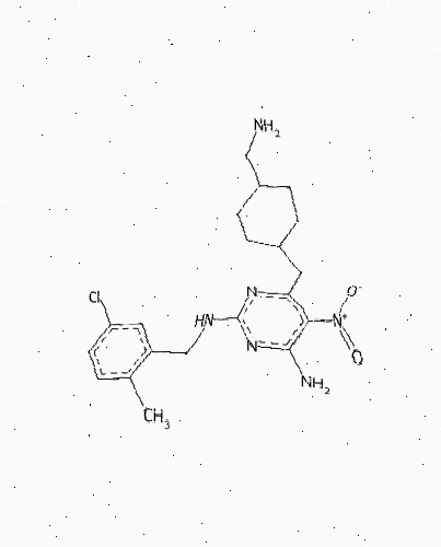 Cc1ccc(Cl)cc1CNc1nc(N)c([N+](=O)[O-])c(CC2CCC(CN)CC2)n1